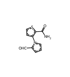 NC(=O)c1sccc1-n1cccc1C=O